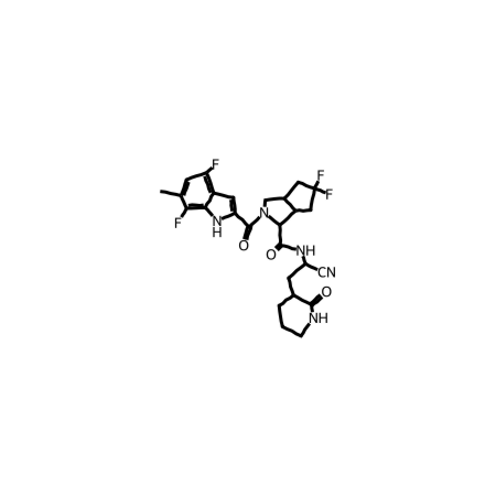 Cc1cc(F)c2cc(C(=O)N3CC4CC(F)(F)CC4C3C(=O)NC(C#N)CC3CCCNC3=O)[nH]c2c1F